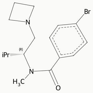 CC(C)[C@H](CN1CCC1)N(C)C(=O)c1ccc(Br)cc1